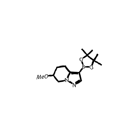 COC1CCc2c(B3OC(C)(C)C(C)(C)O3)cnn2C1